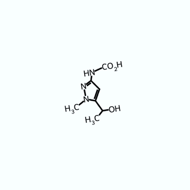 CC(O)c1cc(NC(=O)O)nn1C